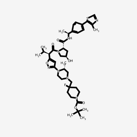 Cc1ncsc1-c1ccc([C@H](C)NC(=O)[C@@H]2C[C@@H](O)CN2C(=O)[C@@H](c2cc(N3CCN(CC4(F)CCN(C(=O)OC(C)(C)C)CC4)C[C@H]3C)no2)C(C)C)cc1